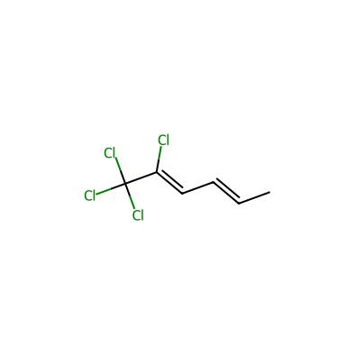 CC=CC=C(Cl)C(Cl)(Cl)Cl